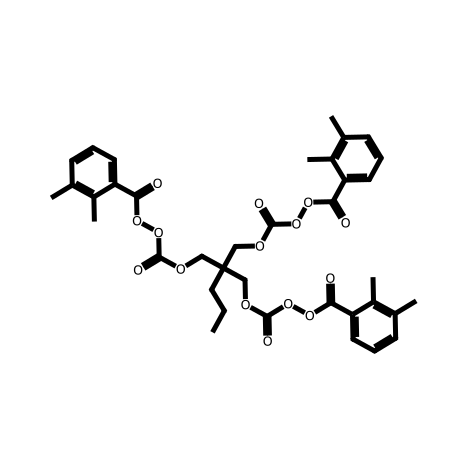 CCCC(COC(=O)OOC(=O)c1cccc(C)c1C)(COC(=O)OOC(=O)c1cccc(C)c1C)COC(=O)OOC(=O)c1cccc(C)c1C